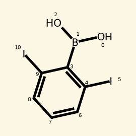 OB(O)c1c(I)cccc1I